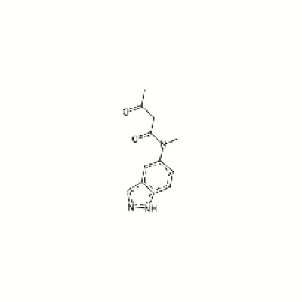 CC(=O)CC(=O)N(C)c1ccc2[nH]ncc2c1